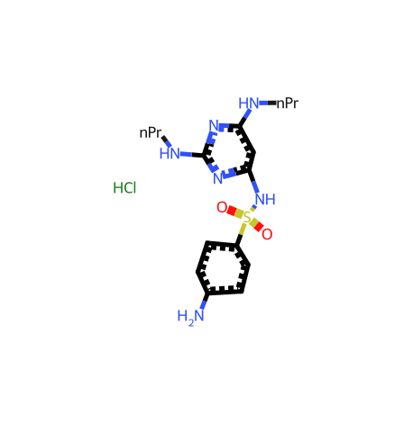 CCCNc1cc(NS(=O)(=O)c2ccc(N)cc2)nc(NCCC)n1.Cl